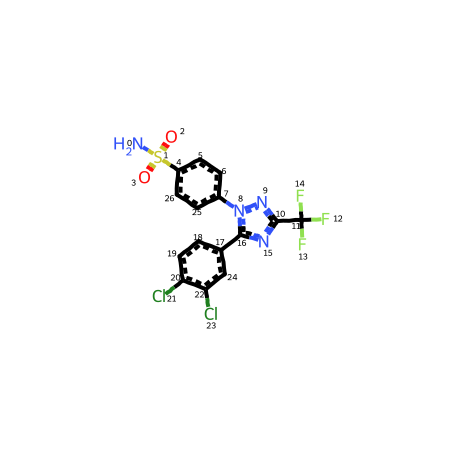 NS(=O)(=O)c1ccc(-n2nc(C(F)(F)F)nc2-c2ccc(Cl)c(Cl)c2)cc1